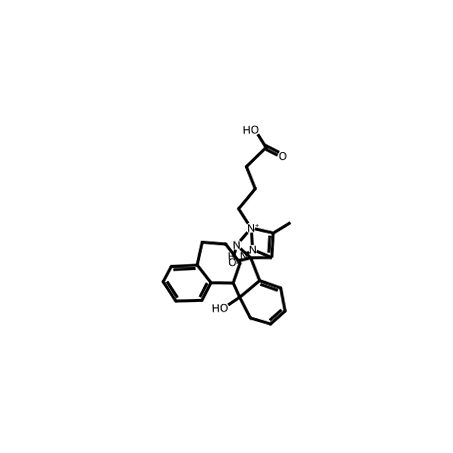 CC1=C2N(N)[N+]1(CCCC(=O)O)N1OC21C1=CC=CCC1(O)C1CCCc2ccccc21